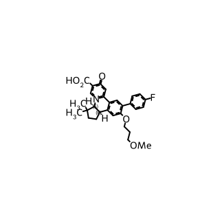 COCCCOc1cc2c(cc1-c1ccc(F)cc1)-c1cc(=O)c(C(=O)O)cn1[C@H]1[C@@H]2CCC1(C)C